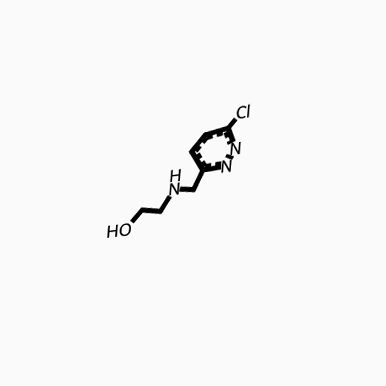 OCCNCc1ccc(Cl)nn1